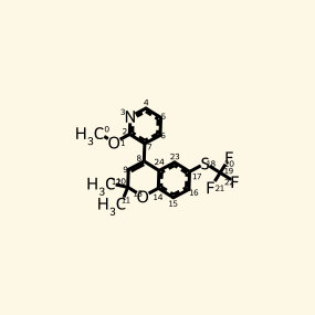 COc1ncccc1C1=CC(C)(C)Oc2ccc(SC(F)(F)F)cc21